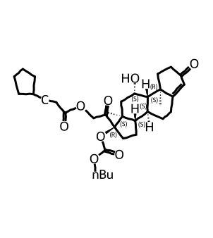 CCCCOC(=O)O[C@]1(C(=O)COC(=O)CCC2CCCC2)CC[C@H]2[C@@H]3CCC4=CC(=O)CC[C@]4(C)[C@H]3[C@@H](O)C[C@@]21C